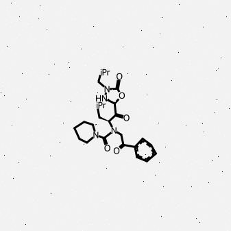 CC(C)C[C@@H](C(=O)C1NN(CC(C)C)C(=O)O1)N(CC(=O)c1ccccc1)C(=O)N1[CH]CCCC1